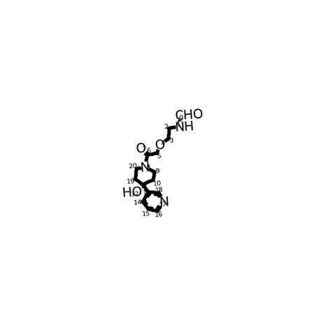 O=CNCCOCC(=O)N1CCC(O)(c2cccnc2)CC1